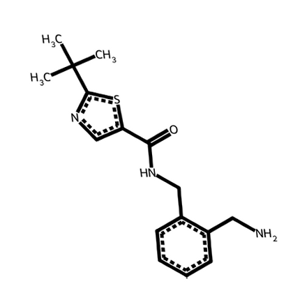 CC(C)(C)c1ncc(C(=O)NCc2cc[c]cc2CN)s1